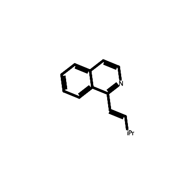 [CH2]C(C)/C=C/c1nccc2ccccc12